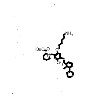 Cc1c(/C=C/c2cc(OCCCCCCN)c(CN3CCCC[C@H]3C(=O)OCC(C)C)cc2C(F)(F)F)cccc1-c1ccccc1